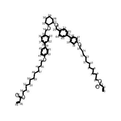 C=CC(=O)OCCCCCCCCCCCOc1ccc(-c2ccc(CO[C@@H]3CCCC[C@H]3OCc3ccc(-c4ccc(OCCCCCCCCCCCOC(=O)C=C)cc4)cc3)cc2)cc1